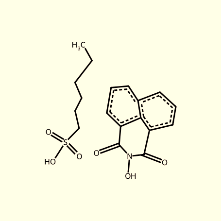 CCCCCCS(=O)(=O)O.O=C1c2cccc3cccc(c23)C(=O)N1O